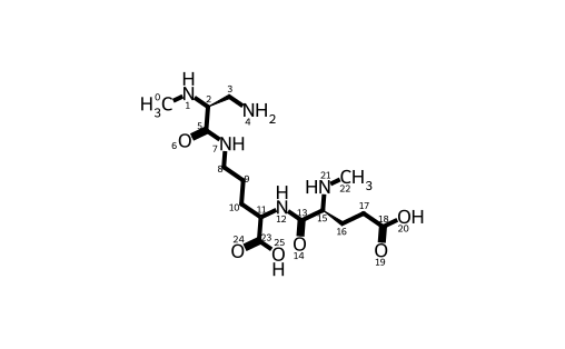 CN[C@@H](CN)C(=O)NCCCC(NC(=O)[C@H](CCC(=O)O)NC)C(=O)O